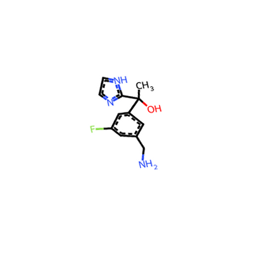 CC(O)(c1cc(F)cc(CN)c1)c1ncc[nH]1